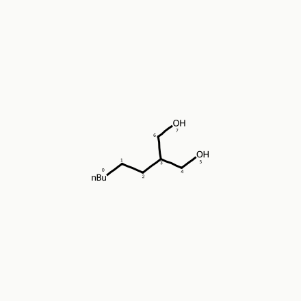 CCCCCCC(CO)CO